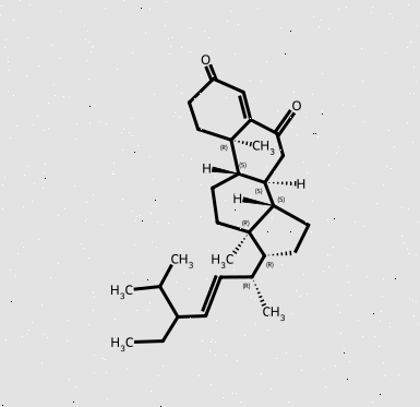 CCC(C=C[C@@H](C)[C@H]1CC[C@H]2[C@@H]3CC(=O)C4=CC(=O)CC[C@]4(C)[C@H]3CC[C@]12C)C(C)C